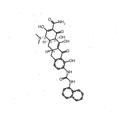 CN(C)[C@@H]1C(O)=C(C(N)=O)C(=O)[C@@]2(O)C(O)=C3C(=O)c4c(ccc(NC(=O)Nc5cccc6ccccc56)c4O)C[C@@H]3C[C@@H]12